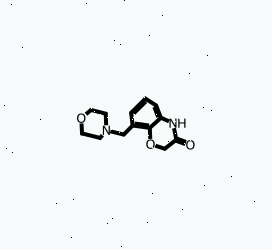 O=C1COc2c(CN3CCOCC3)cccc2N1